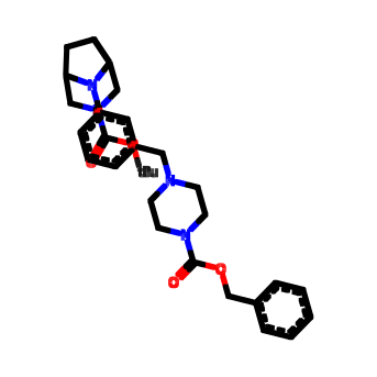 CC(C)(C)OC(=O)N1CC2CCC(C1)N2c1cccc(CN2CCN(C(=O)OCc3ccccc3)CC2)c1